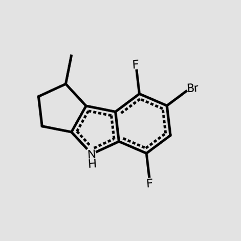 CC1CCc2[nH]c3c(F)cc(Br)c(F)c3c21